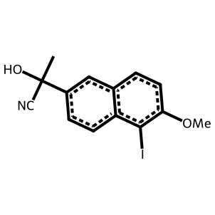 COc1ccc2cc(C(C)(O)C#N)ccc2c1I